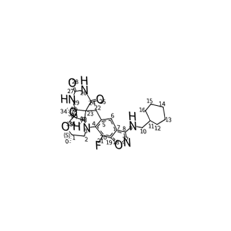 C[C@H]1CN2c3c(cc4c(NCC5CCCCC5)noc4c3F)CC3(C(=O)NC(=O)NC3=O)[C@@H]2[C@@H](C)O1